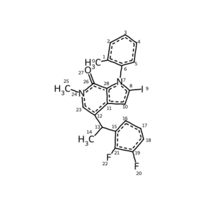 Cc1ccccc1-n1c(I)cc2c(C(C)c3cccc(F)c3F)cn(C)c(=O)c21